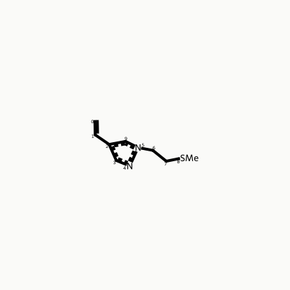 C=Cc1cnn(CCSC)c1